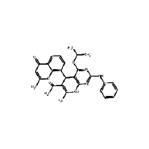 CC(=O)C1=C(C)Nc2nc(Nc3ccccc3)nc(OC(C)C)c2C1c1cccc2c(=O)cc(C)oc12